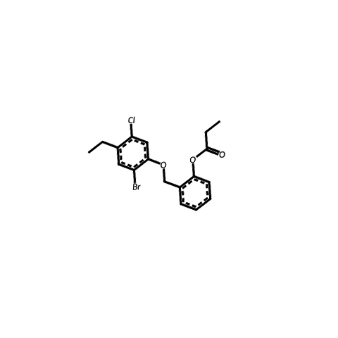 CCC(=O)Oc1ccccc1COc1cc(Cl)c(CC)cc1Br